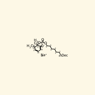 CCCCCCCCCCCCCCCCOP(=O)([O-])OC1(C)C=CC=CC1C.[Na+]